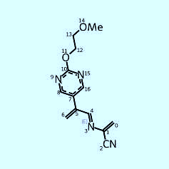 C=C(C#N)/N=C/C(=C)c1cnc(OCCOC)nc1